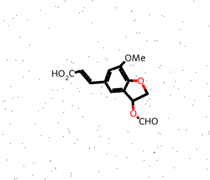 COc1cc(/C=C/C(=O)O)cc2c1OCC2OC=O